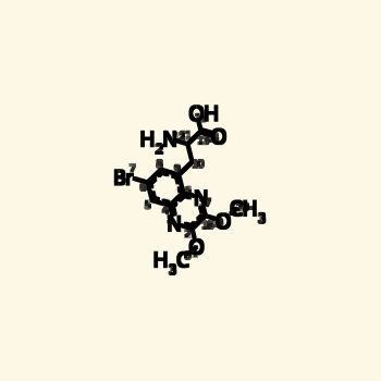 COc1nc2cc(Br)cc(CC(N)C(=O)O)c2nc1OC